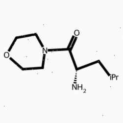 CC(C)C[C@H](N)C(=O)N1CCOCC1